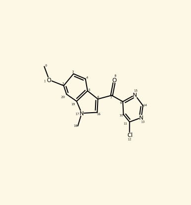 COc1ccc2c(C(=O)c3cc(Cl)ncn3)cn(C)c2c1